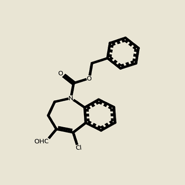 O=CC1=C(Cl)c2ccccc2N(C(=O)OCc2ccccc2)CC1